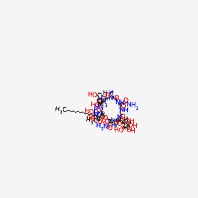 C/C=C1\NC(=O)[C@H](Cc2ccc(O)cc2)NC(=O)[C@H]([C@@H](C)O)NC(=O)[C@@H](NC(=O)[C@@H](NC(=O)C(O)C(O)CCCCCCCCCCC)[C@@H](C)O)[C@@H](C)OC(=O)[C@H](CCC(N)=O)NC(=O)[C@H]([C@@H](C)O[C@@H]2O[C@H](CO)[C@@H](O)[C@H](O)[C@@H]2O)N(C)C(=O)CNC(=O)[C@H](CCC(N)=O)NC1=O